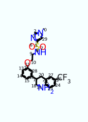 Cn1cnc(S(=O)(=O)NCCOc2cccc(C(CN)Cc3cccc(C(F)(F)F)c3)c2)c1